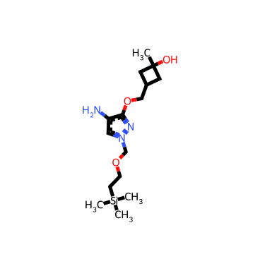 CC1(O)CC(COc2nn(COCC[Si](C)(C)C)cc2N)C1